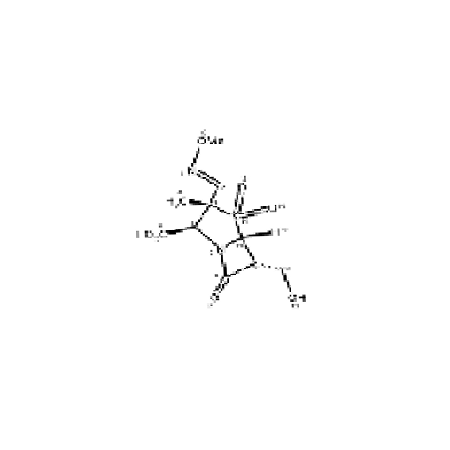 CON=C[C@@]1(C)[C@H](C(=O)O)N2C(=O)[C@@H](CO)[C@H]2S1(=O)=O